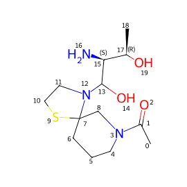 CC(=O)N1CCCC2(C1)SCCN2C(O)[C@@H](N)[C@@H](C)O